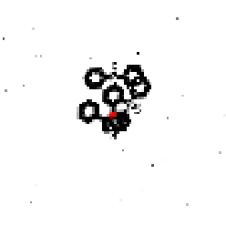 S=P(c1ccccc1)(c1ccccc1)c1ccc(-c2ccncc2-c2ccccc2)c(P(=S)(c2ccccc2)c2ccccc2)c1